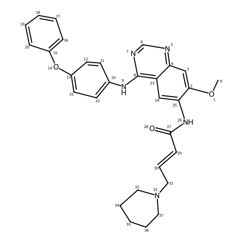 COc1cc2ncnc(Nc3ccc(Oc4ccccc4)cc3)c2cc1NC(=O)C=CCN1CCCCC1